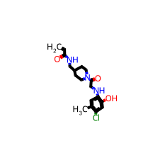 C=CC(=O)NCC1CCN(C(=O)CNc2cc(C)c(Cl)cc2O)CC1